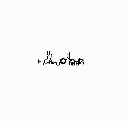 CCN(CC)CCOc1ccc(Nc2cc(-c3ccsc3)[nH]n2)cc1